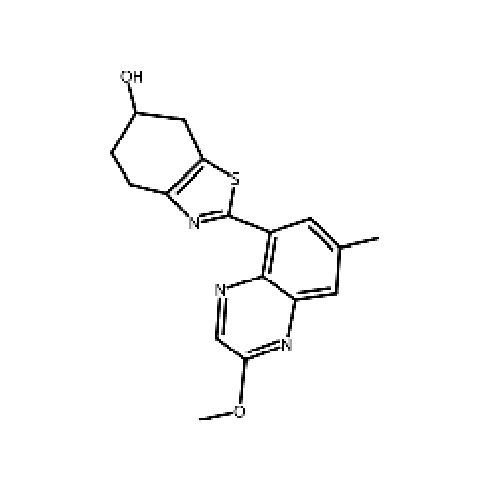 COc1cnc2c(-c3nc4c(s3)CC(O)CC4)cc(C)cc2n1